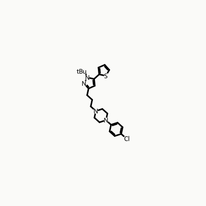 CC(C)(C)n1nc(CCCN2CCN(c3ccc(Cl)cc3)CC2)cc1-c1cccs1